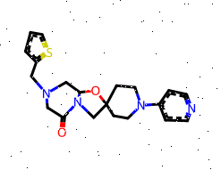 O=C1CN(Cc2cccs2)CC2OC3(CCN(c4ccncc4)CC3)CN12